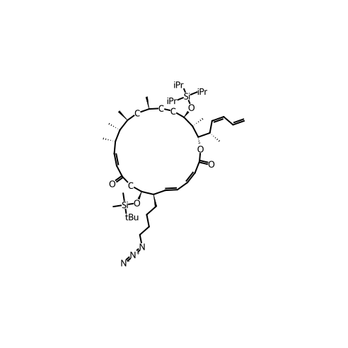 C=C/C=C\[C@H](C)[C@@H]1OC(=O)/C=C\C=C\[C@@H](CCCCN=[N+]=[N-])[C@@H](O[Si](C)(C)C(C)(C)C)CC(=O)/C=C\[C@H](C)[C@H](C)[C@@H](C)C[C@@H](C)CC[C@@H](O[Si](C(C)C)(C(C)C)C(C)C)[C@@H]1C